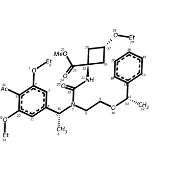 CCOc1cc([C@@H](C)N(CCO[C@@H](C)c2ccccc2)C(=O)N[C@]2(C(=O)OC)C[C@@H](OCC)C2)cc(OCC)c1C(C)=O